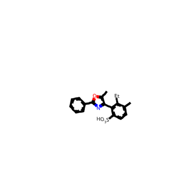 CCc1c(C)ccc(S(=O)(=O)O)c1-c1nc(-c2ccccc2)oc1C